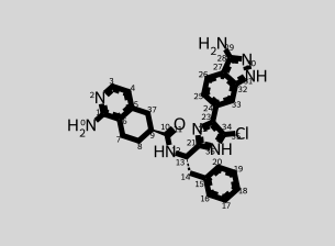 Nc1nccc2c1CC[C@H](C(=O)N[C@@H](Cc1ccccc1)c1nc(-c3ccc4c(N)n[nH]c4c3)c(Cl)[nH]1)C2